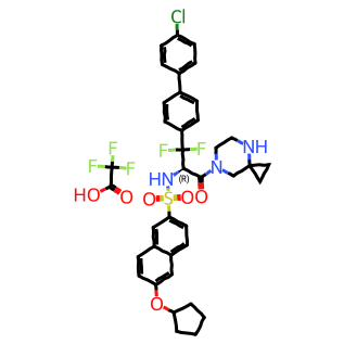 O=C(O)C(F)(F)F.O=C([C@@H](NS(=O)(=O)c1ccc2cc(OC3CCCC3)ccc2c1)C(F)(F)c1ccc(-c2ccc(Cl)cc2)cc1)N1CCNC2(CC2)C1